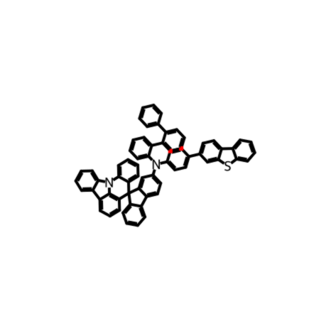 c1ccc(-c2ccccc2-c2ccccc2N(c2ccc(-c3ccc4c(c3)sc3ccccc34)cc2)c2ccc3c(c2)C2(c4ccccc4-3)c3ccccc3-n3c4ccccc4c4cccc2c43)cc1